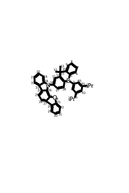 CC(C)c1cc(B2c3ccccc3C(C)(C)c3cc(-n4c5ccccc5c5ccc6c7ccccc7oc6c54)ccc32)cc(C(C)C)c1